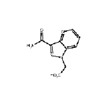 NC(=O)c1nn(CC(=O)O)c2cccnc12